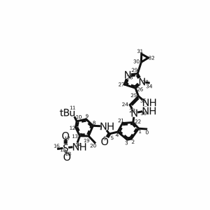 Cc1ccc(C(=O)Nc2cc(C(C)(C)C)cc(NS(C)(=O)=O)c2C)cc1N1C=C(c2cnc(C3CC3)n2C)NN1